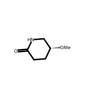 CO[C@@H]1CCC(=O)NC1